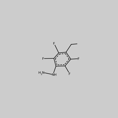 CCc1c(F)c(F)c(NN)c(F)c1F